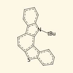 CC(C)(C)n1c2ccccc2c2ccc3sc4ccccc4c3c21